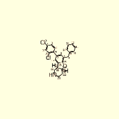 Clc1ccc(-c2cc(Cc3ccccc3)c3c(c2)[C@@H]2CNCC[C@@H]2O3)c(Cl)c1